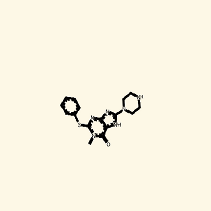 Cn1c(Sc2ccccc2)nc2nc(N3CCNCC3)[nH]c2c1=O